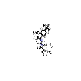 CCN1CCCC(N/C(N)=C(C)/C=C(\N)c2ccc(C(F)(F)F)cc2O)C1